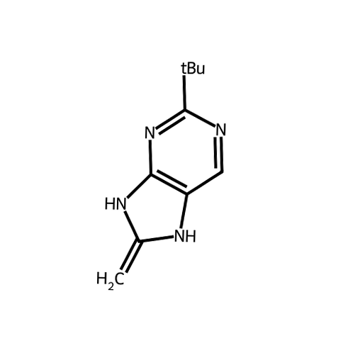 C=C1Nc2cnc(C(C)(C)C)nc2N1